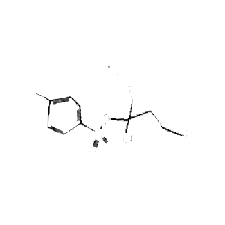 CCC(CC)(CCC(C)C)OS(=O)(=O)c1ccc(C)cc1.P